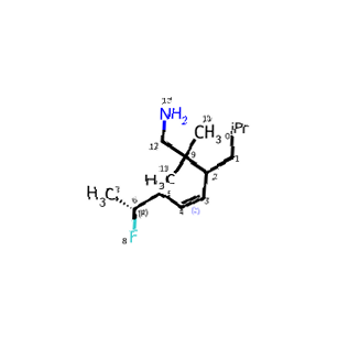 CC(C)CC(/C=C\C[C@@H](C)F)C(C)(C)CN